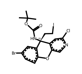 CC(C)(C)OC(=O)N[C@@]1(CCI)c2cc(Br)ccc2Oc2cnc(Cl)cc21